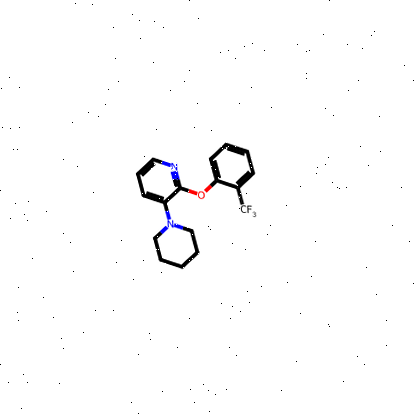 FC(F)(F)c1ccccc1Oc1ncccc1N1CCCCC1